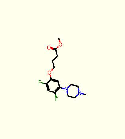 COC(=O)CCCOc1cc(N2CCN(C)CC2)c(F)cc1F